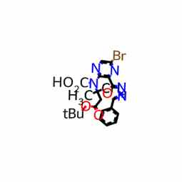 CC(C)(C)OC(=O)CC(C)(C)N(C(=O)O)c1ncc(Br)nc1-c1nnc(-c2ccccc2)o1